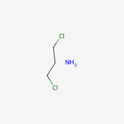 ClCCCCl.N